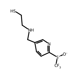 [O-][S+](c1ccc(CNCCS)cn1)C(F)(F)F